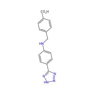 O=C(O)c1ccc(CNc2ccc(-c3nn[nH]n3)cc2)cc1